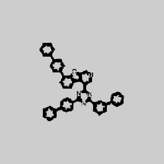 c1ccc(-c2ccc(-c3nc(-c4cccc(-c5ccccc5)c4)nc(-c4cncc5oc6c(-c7ccc(-c8ccccc8)cc7)cccc6c45)n3)cc2)cc1